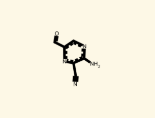 N#Cc1nc(C=O)cnc1N